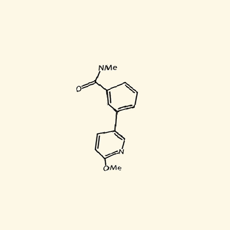 CNC(=O)c1cccc(-c2ccc(OC)nc2)c1